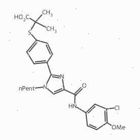 CCCCCn1cc(C(=O)Nc2ccc(OC)c(Cl)c2)nc1-c1ccc(SC(C)(C)C(=O)O)cc1